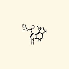 CCNC(=O)c1c[nH]c2ncc3ncn(C)c3c12